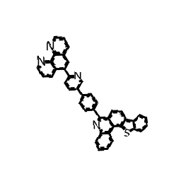 c1cnc2c(c1)cc(-c1ccc(-c3ccc(-c4nc5ccccc5c5c4ccc4c6ccccc6sc45)cc3)cn1)c1cccnc12